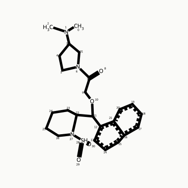 CN(C)C1CCN(C(=O)COC(c2cccc3ccccc23)C2CCCCN2[SH](=O)=O)C1